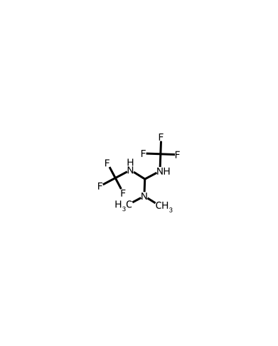 CN(C)C(NC(F)(F)F)NC(F)(F)F